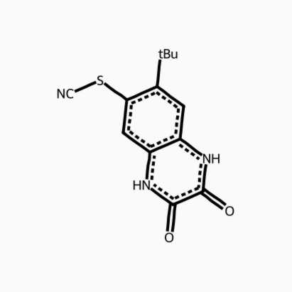 CC(C)(C)c1cc2[nH]c(=O)c(=O)[nH]c2cc1SC#N